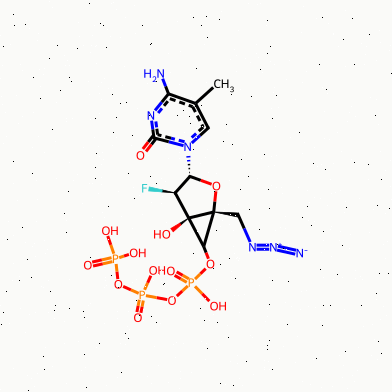 Cc1cn([C@@H]2O[C@]3(CN=[N+]=[N-])C(OP(=O)(O)OP(=O)(O)OP(=O)(O)O)[C@]3(O)[C@H]2F)c(=O)nc1N